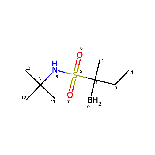 BC(C)(CC)S(=O)(=O)NC(C)(C)C